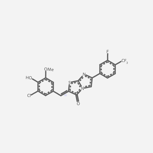 COc1cc(/C=c2\sc3nc(-c4ccc(C(F)(F)F)c(F)c4)cn3c2=O)cc(Cl)c1O